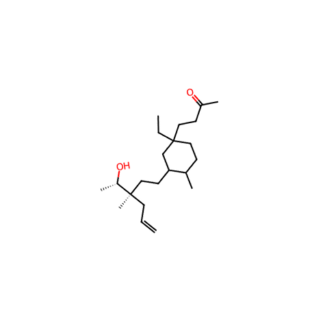 C=CC[C@](C)(CCC1CC(CC)(CCC(C)=O)CCC1C)[C@H](C)O